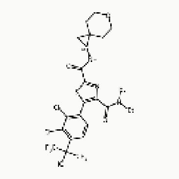 CCN(CC)C(=O)c1nc(C(=O)N[C@H]2CC23CCOCC3)sc1-c1ccc(C(O)(C(F)(F)F)C(F)(F)F)c(Cl)c1Cl